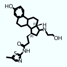 Cc1cnc(NC(=O)CC[C@@H]2CC(NCCO)[C@@]3(C)CCC4c5ccc(O)cc5CCC4C23)s1